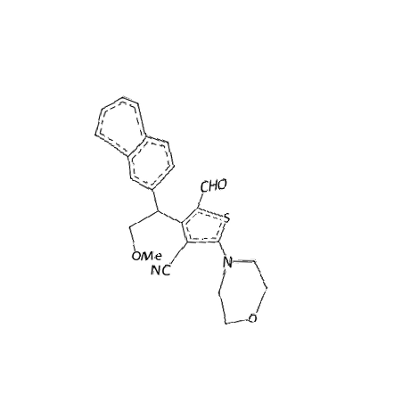 COCC(c1ccc2ccccc2c1)c1c(C=O)sc(N2CCOCC2)c1C#N